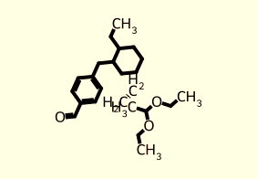 C=C.CCC1CCCCC1Cc1ccc(C=O)cc1.CCOC(C)OCC